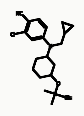 CC(C)(C)[Si](C)(C)OC1CCCC(N(CC2CC2)c2ccc(C#N)c(Cl)c2)C1